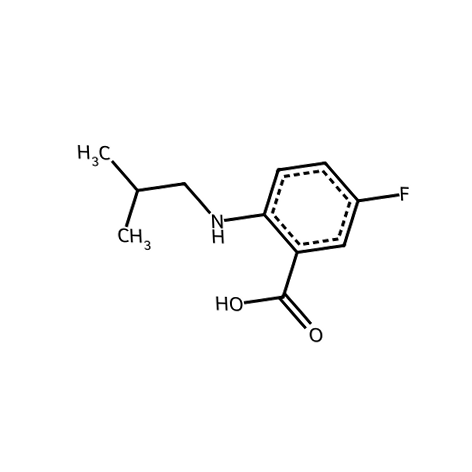 CC(C)CNc1ccc(F)cc1C(=O)O